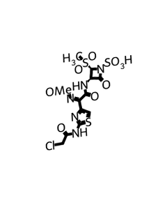 CON=C(C(=O)N[C@@H]1C(=O)N(S(=O)(=O)O)[C@@H]1S(C)(=O)=O)c1csc(NC(=O)CCl)n1